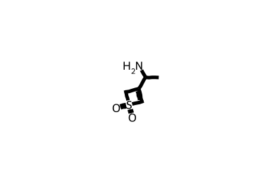 CC(N)C1=CS(=O)(=O)C1